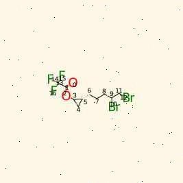 O=C(O[C@@H]1C[C@H]1CCCC(Br)CBr)C(F)(F)F